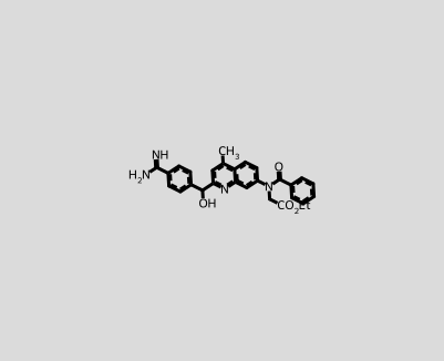 CCOC(=O)CN(C(=O)c1ccccc1)c1ccc2c(C)cc(C(O)c3ccc(C(=N)N)cc3)nc2c1